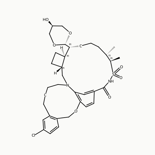 C[C@@H]1[C@@H](C)CCC[C@@H]([C@H]2OC[C@H](O)CO2)[C@@H]2CC[C@H]2CN2CCCCc3cc(Cl)ccc3COc3ccc(cc32)C(=O)NS1(=O)=O